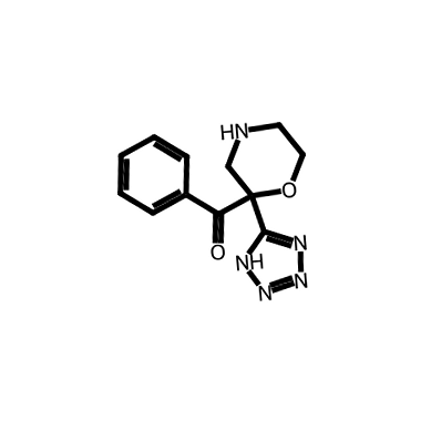 O=C(c1ccccc1)C1(c2nnn[nH]2)CNCCO1